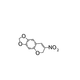 O=[N+]([O-])C1=Cc2cc3c(cc2OC1)OCO3